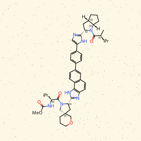 COC(=O)N[C@H](C(=O)N1C[C@]2(CCCOC2)C[C@H]1c1nc2ccc3cc(-c4ccc(-c5cnc([C@@H]6C[C@@H]7CCC[C@@H]7N6C(=O)[C@@H](C)C(C)C)[nH]5)cc4)ccc3c2[nH]1)C(C)C